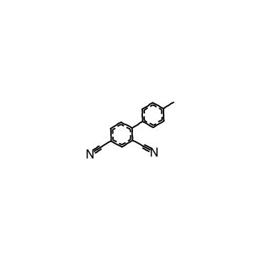 Cc1ccc(-c2ccc(C#N)cc2C#N)cc1